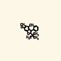 COc1cc(C)c2c(-c3ccccc3)c([Si](C)(C)C)oc2c1